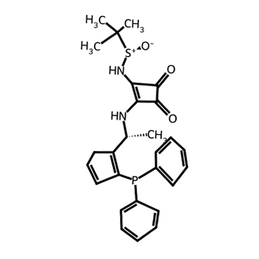 C[C@@H](Nc1c(N[S@+]([O-])C(C)(C)C)c(=O)c1=O)C1=C(P(c2ccccc2)c2ccccc2)C=CC1